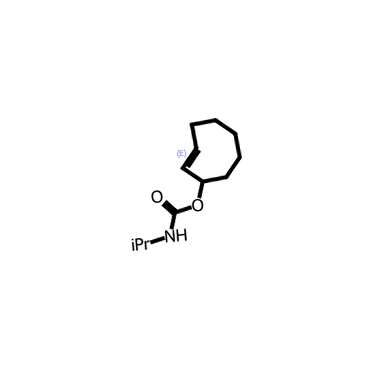 CC(C)NC(=O)OC1/C=C/CCCCC1